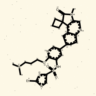 CCc1ncc(S(=O)(=O)Nc2cc(-c3ccc4ncc5c(c4c3)C3(CCC3)C(=O)N5C)cnc2OCCCN(C)C)s1